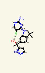 CC1(C)CN(c2nc(N)ncc2Cl)c2cc(C(C)(O)c3ccn[nH]3)ccc21